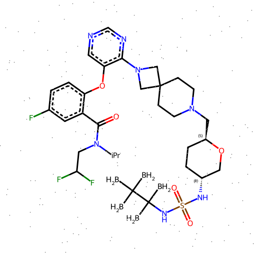 BC(B)(B)C(B)(B)NS(=O)(=O)N[C@@H]1CC[C@@H](CN2CCC3(CC2)CN(c2ncncc2Oc2ccc(F)cc2C(=O)N(CC(F)F)C(C)C)C3)OC1